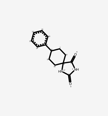 O=C1NC(=O)C2(CCC(c3ccccc3)CC2)N1